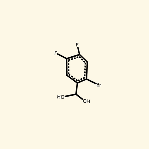 OC(O)c1cc(F)c(F)cc1Br